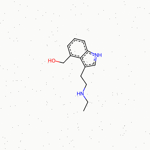 CCNCCc1c[nH]c2cccc(CO)c12